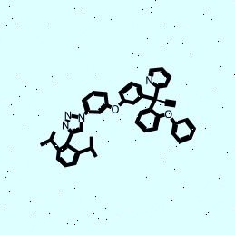 C#C[C@@](C1=CC=CC(Oc2cccc(-n3cc(-c4c(C(C)C)cccc4C(C)C)nn3)c2)C1)(c1ccccn1)c1ccccc1Oc1ccccc1